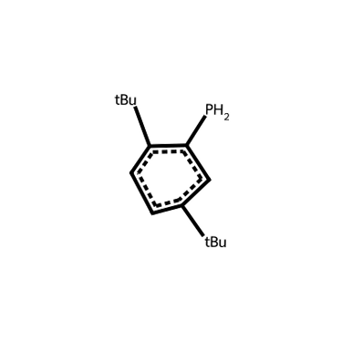 CC(C)(C)c1ccc(C(C)(C)C)c(P)c1